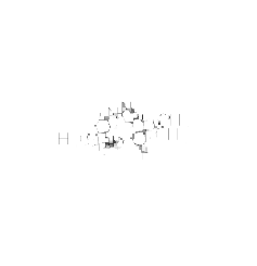 COc1ccc(Nc2cc(-c3ccc(F)cc3OC(C)C)ncn2)cc1[N+](=O)[O-]